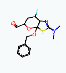 CN(C)C1=NC2C(F)CC(C=O)OC2(OCc2ccccc2)S1